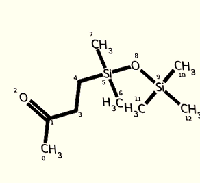 CC(=O)CC[Si](C)(C)O[Si](C)(C)C